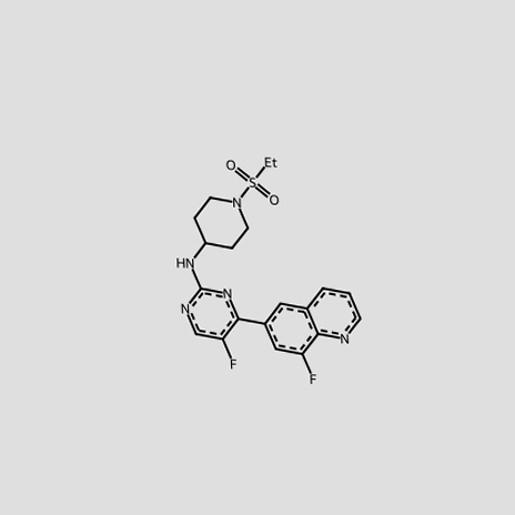 CCS(=O)(=O)N1CCC(Nc2ncc(F)c(-c3cc(F)c4ncccc4c3)n2)CC1